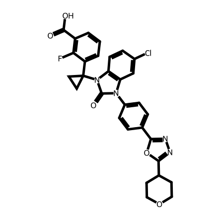 O=C(O)c1cccc(C2(n3c(=O)n(-c4ccc(-c5nnc(C6CCOCC6)o5)cc4)c4cc(Cl)ccc43)CC2)c1F